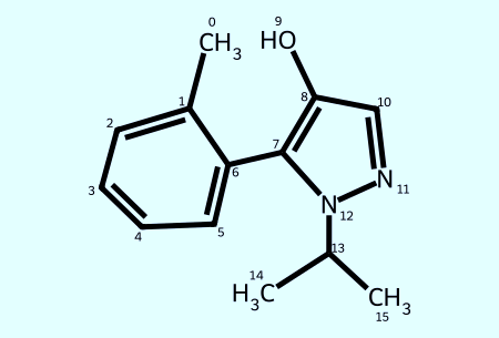 Cc1ccccc1-c1c(O)cnn1C(C)C